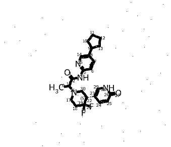 CC(C(=O)Nc1ccc(C2CCCC2)cn1)N1CCC(F)(F)[C@@H](c2ccc(=O)[nH]c2)C1